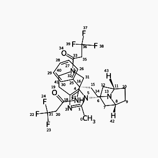 Cc1nc2c(n1[C@H]1C[C@H]3CC[C@@H](C1)N3CC[C@H](NC(=O)CC(F)(F)F)c1ccccc1)CN(C(=O)CC(F)(F)F)CC2